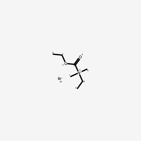 CCOC(=O)[N+](C)(C)CC.[Br-]